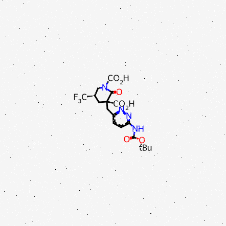 CC(C)(C)OC(=O)Nc1ccc(CC2(C(=O)O)C[C@@H](C(F)(F)F)CN(C(=O)O)C2=O)nn1